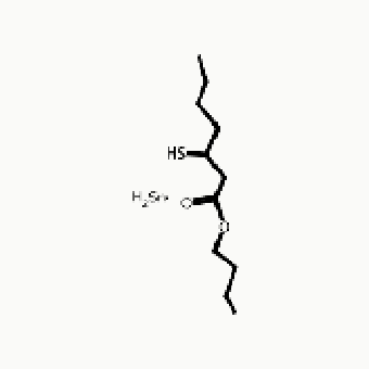 CCCCOC(=O)CC(S)CCCC.[SnH2]